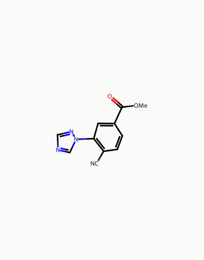 COC(=O)c1ccc(C#N)c(-n2cncn2)c1